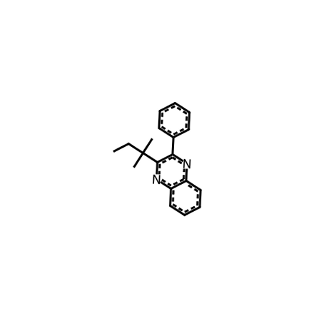 CCC(C)(C)c1nc2ccccc2nc1-c1ccccc1